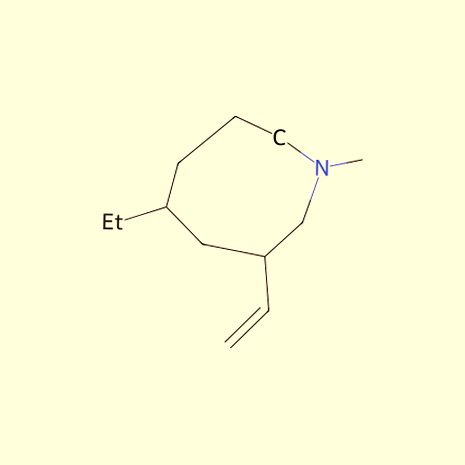 C=CC1CC(CC)CCCN(C)C1